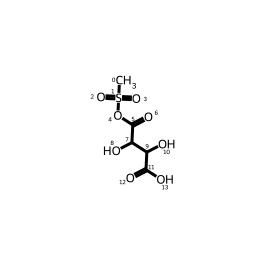 CS(=O)(=O)OC(=O)C(O)C(O)C(=O)O